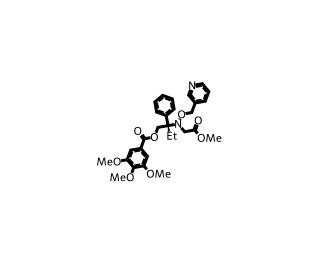 CC[C@@](COC(=O)c1cc(OC)c(OC)c(OC)c1)(c1ccccc1)N(CC(=O)OC)OCc1cccnc1